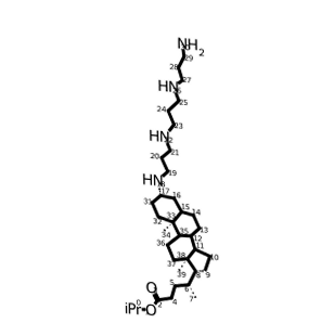 CC(C)OC(=O)CC[C@@H](C)[C@H]1CCC2C3CCC4C[C@@H](NCCCNCCCNCCCN)CC[C@]4(C)C3CC[C@@]21C